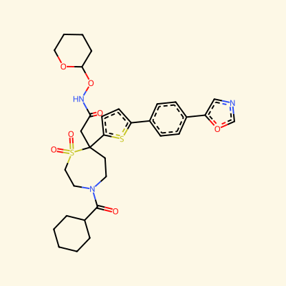 O=C(CC1(c2ccc(-c3ccc(-c4cnco4)cc3)s2)CCN(C(=O)C2CCCCC2)CCS1(=O)=O)NOC1CCCCO1